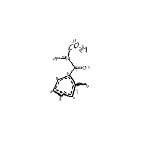 Cc1ccccc1C(=O)N(C)C(=O)O